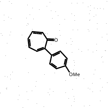 COc1ccc(-c2cccccc2=O)cc1